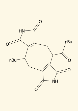 CCCCC(=O)C1CC2=C(C(=O)NC2=O)C(CCCC)CC2=C1C(=O)NC2=O